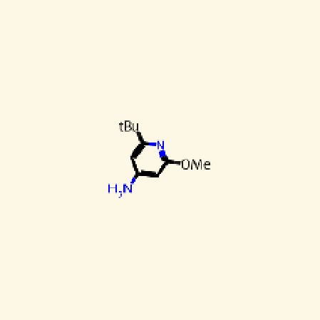 COc1cc(N)cc(C(C)(C)C)n1